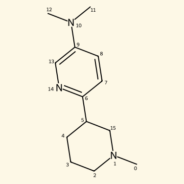 CN1CCCC(c2ccc(N(C)C)cn2)C1